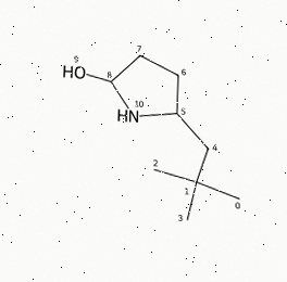 CC(C)(C)CC1CCC(O)N1